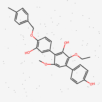 CCOc1c(-c2ccc(O)cc2)cc(OC)c(-c2ccc(OCc3ccc(C)cc3)c(O)c2)c1O